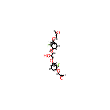 OC(COC1CC2(F)CC1CCC2OCC1CO1)COC1CCC2CC1(F)CC2OCC1CO1